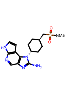 CNS(=O)(=O)C[C@H]1CC[C@H](n2c(N)nc3cnc4[nH]ccc4c32)CC1